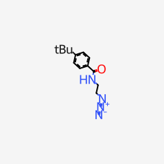 CC(C)(C)c1ccc(C(=O)NCCN=[N+]=[N-])cc1